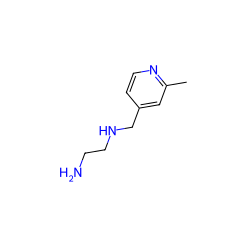 Cc1cc(CNCCN)ccn1